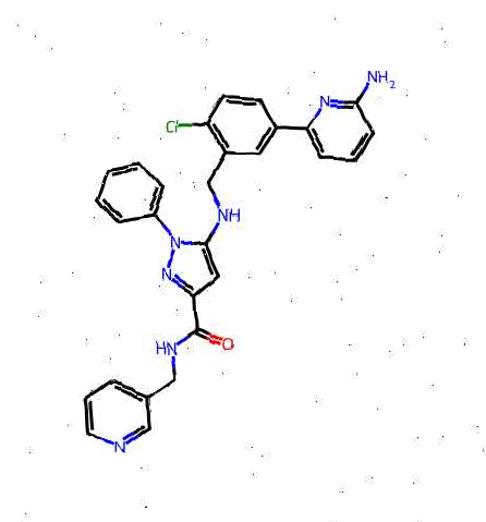 Nc1cccc(-c2ccc(Cl)c(CNc3cc(C(=O)NCc4cccnc4)nn3-c3ccccc3)c2)n1